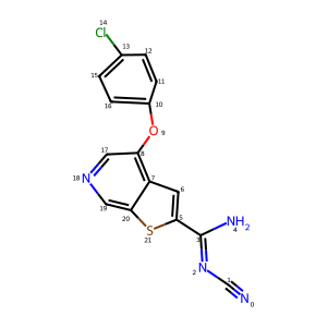 N#C/N=C(\N)c1cc2c(Oc3ccc(Cl)cc3)cncc2s1